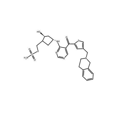 NS(=O)(=O)OCC1C[C@@H](Nc2ncncc2C(=O)c2cc(CN3CCc4ccccc4C3)cs2)C[C@@H]1O